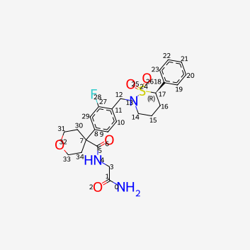 NC(=O)CNC(=O)C1(c2ccc(CN3CCC[C@H](c4ccccc4)S3(=O)=O)c(F)c2)CCOCC1